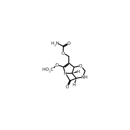 NC(=O)OCC1=C(OC(=O)O)N2C(=O)[C@H]3NCOC1[C@H]32